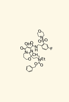 CCN(CCC1(C)OCCCn2c1nc(C(=O)NCc1ccc(F)cc1S(=O)(=O)N1CCOCC1)c(O)c2=O)C(=O)OCc1ccccc1